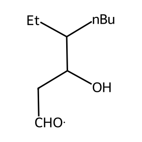 CCCCC(CC)C(O)C[C]=O